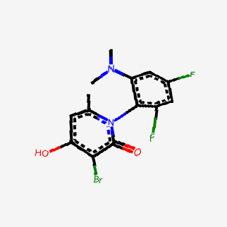 Cc1cc(O)c(Br)c(=O)n1-c1c(F)cc(F)cc1N(C)C